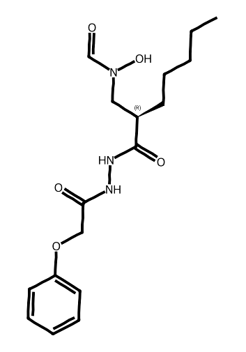 CCCCC[C@H](CN(O)C=O)C(=O)NNC(=O)COc1ccccc1